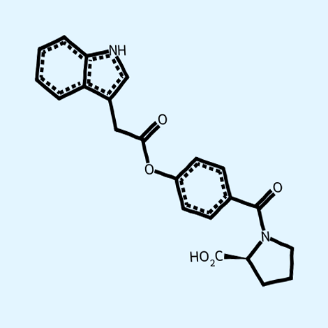 O=C(Cc1c[nH]c2ccccc12)Oc1ccc(C(=O)N2CCC[C@H]2C(=O)O)cc1